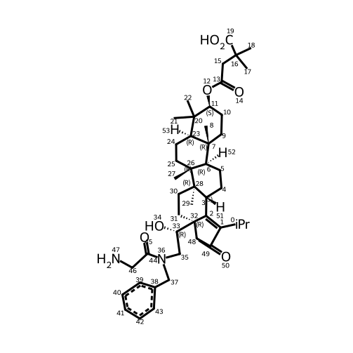 CC(C)C1=C2[C@H]3CC[C@@H]4[C@@]5(C)CC[C@H](OC(=O)CC(C)(C)C(=O)O)C(C)(C)[C@@H]5CC[C@@]4(C)[C@]3(C)CC[C@@]2([C@@H](O)CN(Cc2ccccc2)C(=O)CN)CC1=O